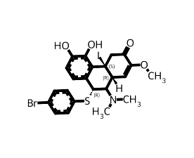 COC1=C[C@@H]2C(N(C)C)[C@H](Sc3ccc(Br)cc3)c3ccc(O)c(O)c3[C@]2(I)CC1=O